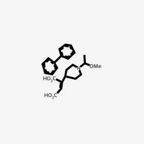 COC(C)N1CCC(/C(=C/C(=O)O)C(=O)O)CC1.c1ccc(-c2ccccc2)cc1